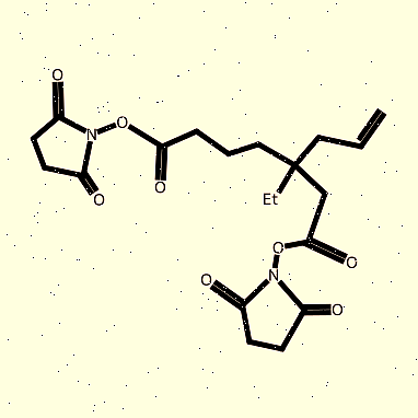 C=CCC(CC)(CCCC(=O)ON1C(=O)CCC1=O)CC(=O)ON1C(=O)CCC1=O